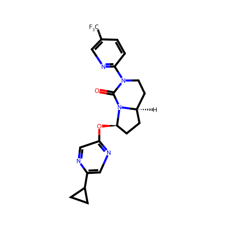 O=C1N(c2ccc(C(F)(F)F)cn2)CC[C@H]2CC[C@@H](Oc3cnc(C4CC4)cn3)N12